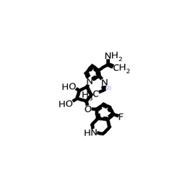 C=C(N)c1ccn(C2CC(Oc3ccc(F)c4c3CNCC4)C(O)C2O)c1/N=C\C